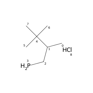 CC(CP)C(C)(C)C.Cl